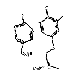 CN[C@@H](C)COc1cnc(Cl)c(C)c1.Cc1ccc(S(=O)(=O)O)cc1